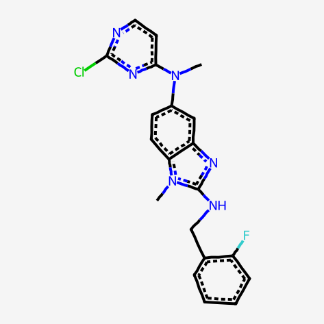 CN(c1ccc2c(c1)nc(NCc1ccccc1F)n2C)c1ccnc(Cl)n1